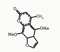 COC1=c2oc(=O)cc(C)c2=C(OC)C2C=COC12